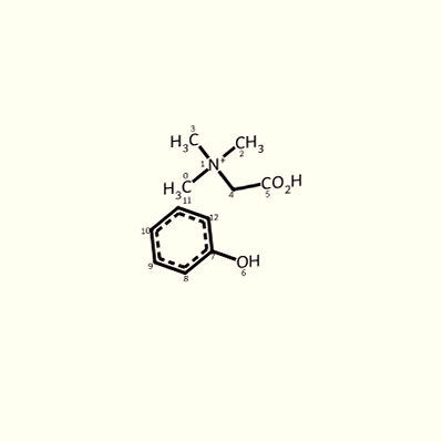 C[N+](C)(C)CC(=O)O.Oc1ccccc1